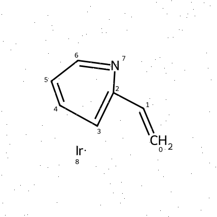 C=Cc1ccccn1.[Ir]